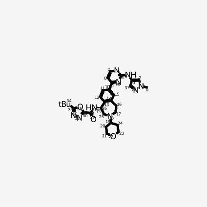 Cn1cc(Nc2nccc(-c3ccc4c(c3)CCN(C3CCOCC3)C[C@H]4NC(=O)c3nnc(C(C)(C)C)o3)n2)cn1